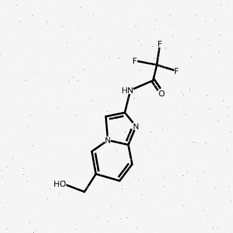 O=C(Nc1cn2cc(CO)ccc2n1)C(F)(F)F